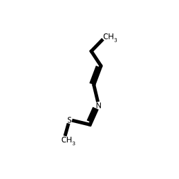 CC/C=C/N=C\SC